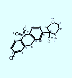 O=S1(=O)c2ccc(Cl)cc2Cc2cc(C3(C(F)(F)F)COCCS3)ccc21